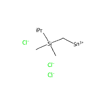 CC(C)[Si](C)(C)[CH2][Sn+3].[Cl-].[Cl-].[Cl-]